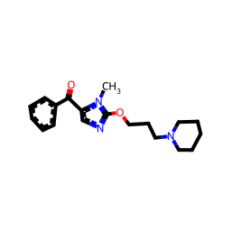 Cn1c(C(=O)c2ccccc2)cnc1OCCCN1CCCCC1